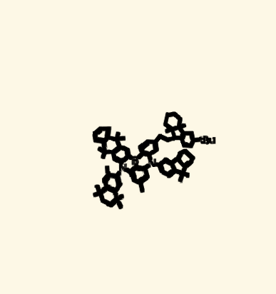 Cc1cc2c3c(c1)N(c1cc4c(cc1C)C(C)(C)CCC4(C)C)c1cc4c(cc1B3c1ccc(CCC3c5ccc(C(C)(C)C)cc5C5(C)CCCCC35C)cc1N2c1ccc2c(c1)-c1ccccc1C2(C)C)C(C)(C)c1ccccc1C4(C)C